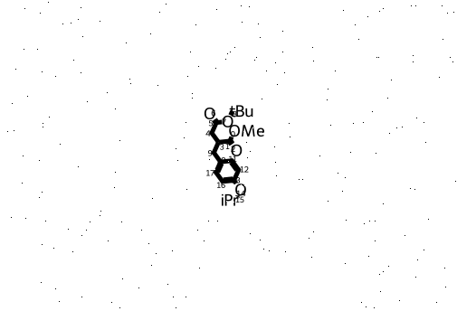 COC(=O)C(CC(=O)OC(C)(C)C)Cc1ccc(OC(C)C)cc1